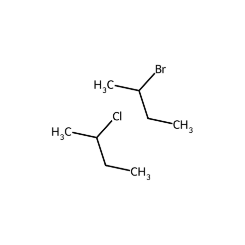 CCC(C)Br.CCC(C)Cl